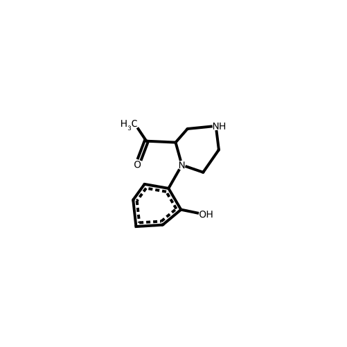 CC(=O)C1CNCCN1c1ccccc1O